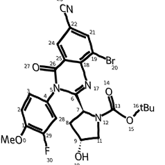 COc1ccc(-n2c([C@@H]3C[C@@H](O)CN3C(=O)OC(C)(C)C)nc3c(Br)cc(C#N)cc3c2=O)cc1F